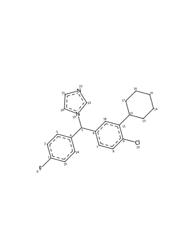 Fc1ccc(C(c2ccc(Cl)c(C3CCCCC3)c2)n2ccnc2)cc1